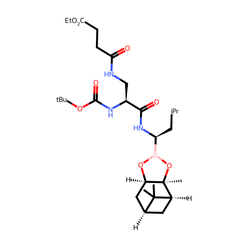 CCOC(=O)CCC(=O)NC[C@H](NC(=O)OC(C)(C)C)C(=O)N[C@@H](CC(C)C)B1O[C@@H]2C[C@@H]3C[C@@H](C3(C)C)[C@]2(C)O1